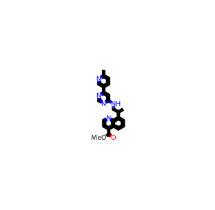 COC(=O)c1ccnc2c(C(C)CNc3cc(-c4ccc(C)nc4)ncn3)cccc12